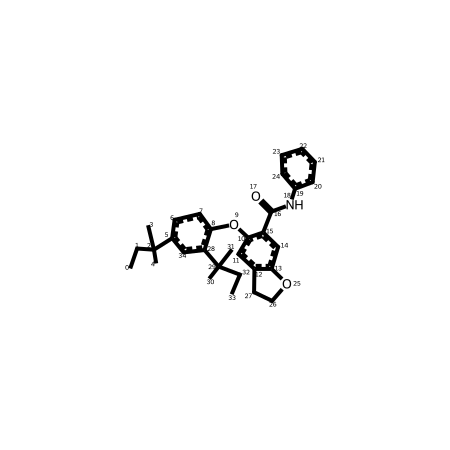 CCC(C)(C)c1ccc(Oc2cc3c(cc2C(=O)Nc2ccccc2)OCC3)c(C(C)(C)CC)c1